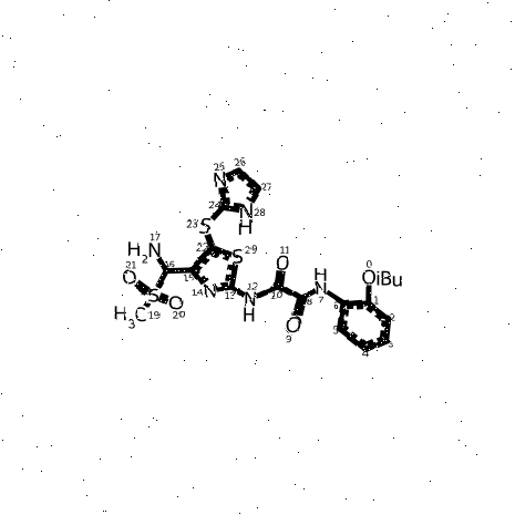 CC(C)COc1ccccc1NC(=O)C(=O)Nc1nc(C(N)S(C)(=O)=O)c(Sc2ncc[nH]2)s1